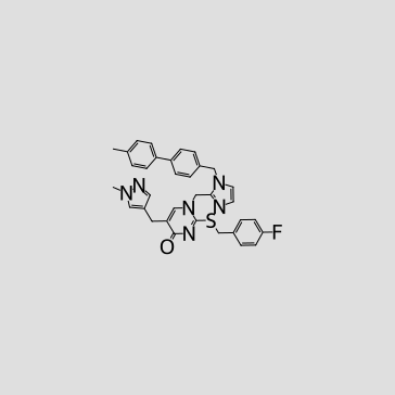 Cc1ccc(-c2ccc(Cn3ccnc3Cn3cc(Cc4cnn(C)c4)c(=O)nc3SCc3ccc(F)cc3)cc2)cc1